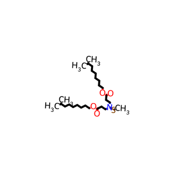 CSN(CCC(=O)OCCCCCCCC(C)C)CCC(=O)OCCCCCCCC(C)C